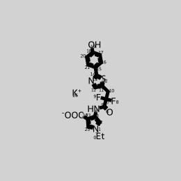 CCn1cc(NC(=O)C(F)(F)Cc2cnc(-c3ccc(O)cc3)s2)c(C(=O)[O-])c1.[K+]